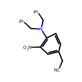 CC(C)CN(CC(C)C)c1ccc(CC#N)cc1[N+](=O)[O-]